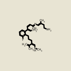 C=C(C)/C(=C\NC)CCCc1c(F)cccc1C(/C=C\C(C)=N\C=C(/C)CCN)=C/C